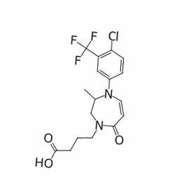 CC1CN(CCCC(=O)O)C(=O)C=CN1c1ccc(Cl)c(C(F)(F)F)c1